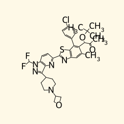 CC(=O)[C@@H](OC(C)(C)C)c1c(C)cc2nc(-c3ccc4c(n3)c(C3CCN(C5COC5)CC3)nn4C(F)F)sc2c1-c1ccc(Cl)cc1